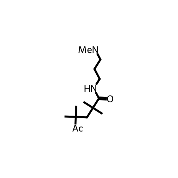 CNCCCNC(=O)C(C)(C)CC(C)(C)C(C)=O